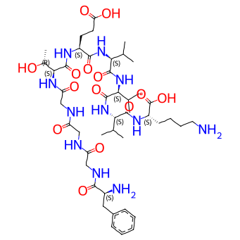 CC(C)[C@H](NC(=O)[C@H](CCC(=O)O)NC(=O)[C@@H](NC(=O)CNC(=O)CNC(=O)CNC(=O)[C@@H](N)Cc1ccccc1)[C@@H](C)O)C(=O)N[C@H](C(=O)N[C@H](C(=O)N[C@@H](CCCCN)C(=O)O)C(C)C)C(C)C